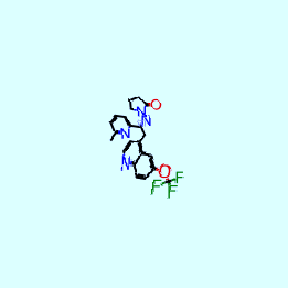 Cc1cccc(/C(Cc2ccnc3ccc(OC(F)(F)F)cc23)=N\N2CCCC2=O)n1